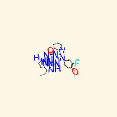 CCC(NC1=NC(Nc2ccc(OC)c(F)c2)=NC(N)(OC2CCCCC2)N1)C1CCCN1